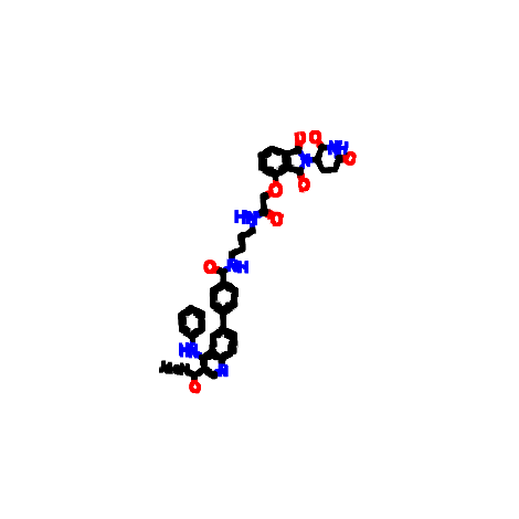 CNC(=O)c1cnc2ccc(-c3ccc(C(=O)NCCCCNC(=O)COc4cccc5c4C(=O)N(C4CCC(=O)NC4=O)C5=O)cc3)cc2c1Nc1ccccc1